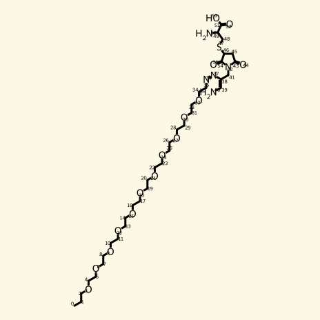 CCCOCCOCCOCCOCCOCCOCCOCCOCCOCCOCCOCC/N=N\C(=C/N)CN1C(=O)CC(SCC(N)C(=O)O)C1=O